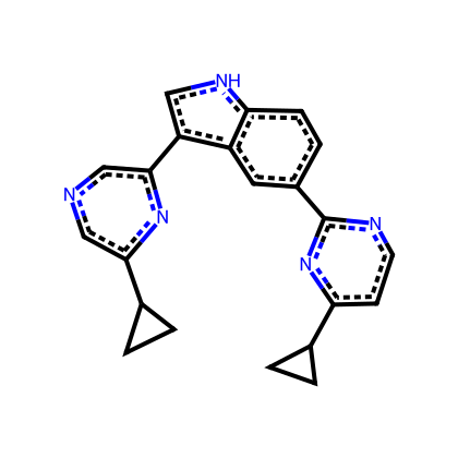 c1cc(C2CC2)nc(-c2ccc3[nH]cc(-c4cncc(C5CC5)n4)c3c2)n1